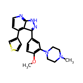 COc1ccc(-c2n[nH]c3nccc(-c4ccsc4)c23)cc1N1CCN(C)CC1